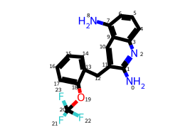 Nc1nc2cccc(N)c2cc1Cc1ccccc1OC(F)(F)F